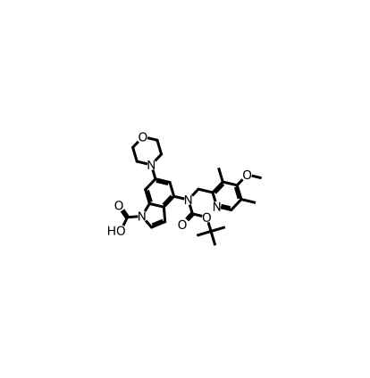 COc1c(C)cnc(CN(C(=O)OC(C)(C)C)c2cc(N3CCOCC3)cc3c2ccn3C(=O)O)c1C